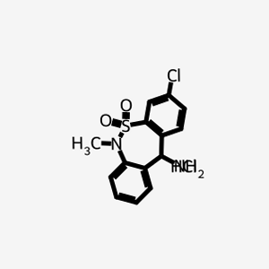 CN1c2ccccc2C(N)c2ccc(Cl)cc2S1(=O)=O.Cl